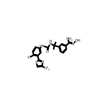 CC(C)(NC(=O)Nc1ccc(Cl)c(-c2nc(C(F)(F)F)cs2)c1)c1cccc(/C(N)=N/O)c1